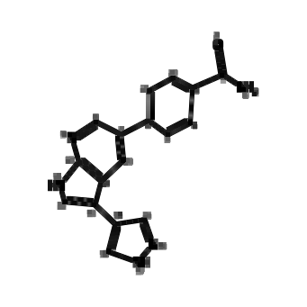 NC(=O)c1ccc(-c2cnc3[nH]cc(-c4cn[nH]c4)c3c2)cc1